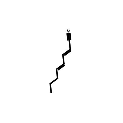 CCCC=CC=CC#N